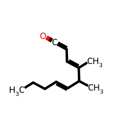 CCCC=CC(C)C(C)=CC=C=O